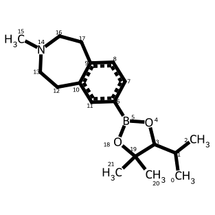 CC(C)C1OB(c2ccc3c(c2)CCN(C)CC3)OC1(C)C